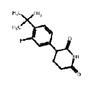 CC(C)(C)c1ccc(C2CCC(=O)NC2=O)cc1F